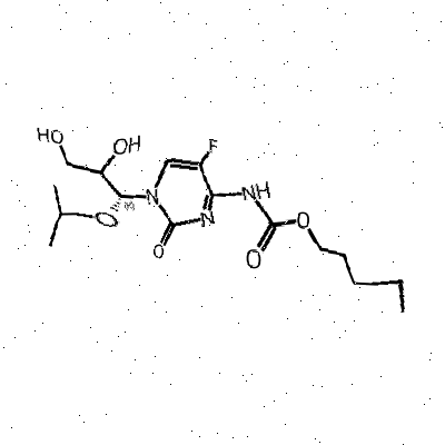 CCCCCOC(=O)Nc1nc(=O)n([C@H](OC(C)C)C(O)CO)cc1F